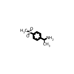 C[C@H](N)c1ccc(S(C)(=O)=O)cc1